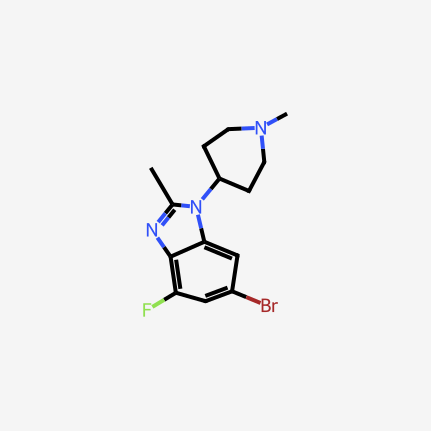 Cc1nc2c(F)cc(Br)cc2n1C1CCN(C)CC1